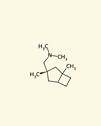 CN(C)C[C@@]1(C)CC2CCC2(C)C1